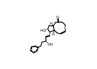 O=C1CCC/C=C\C[C@H]2[C@@H](C1)C[C@@H](O)[C@@H]2/C=C/[C@@H](O)CCc1ccccc1